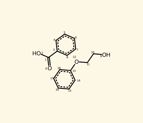 O=C(O)c1ccccc1.OCCOc1ccccc1